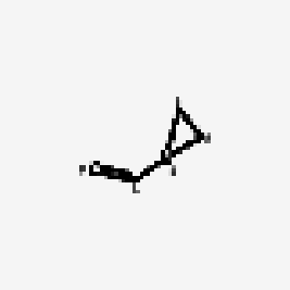 O=[C]N1CC1